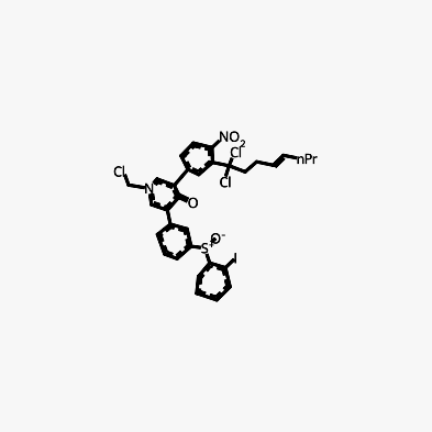 CCCC=CCCC(Cl)(Cl)c1cc(-c2cn(CCl)cc(-c3cccc([S+]([O-])c4ccccc4I)c3)c2=O)ccc1[N+](=O)[O-]